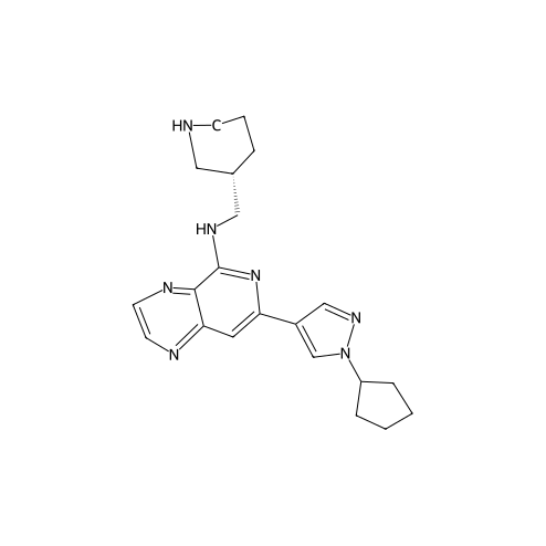 c1cnc2c(NC[C@H]3CCCNC3)nc(-c3cnn(C4CCCC4)c3)cc2n1